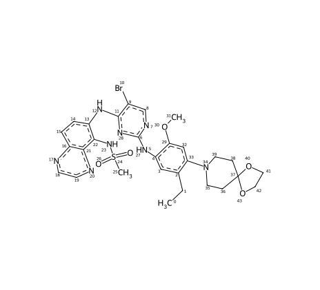 CCc1cc(Nc2ncc(Br)c(Nc3ccc4nccnc4c3NS(C)(=O)=O)n2)c(OC)cc1N1CCC2(CC1)OCCO2